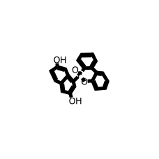 O=P1(c2cc(O)cc3ccc(O)cc23)Oc2ccccc2-c2ccccc21